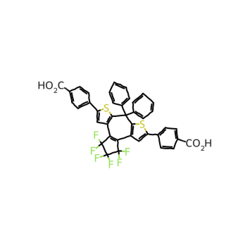 O=C(O)c1ccc(-c2cc3c(s2)C(c2ccccc2)(c2ccccc2)c2sc(-c4ccc(C(=O)O)cc4)cc2C2=C3C(F)(F)C(F)(F)C2(F)F)cc1